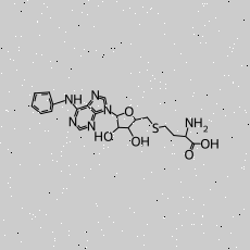 NC(CCSCC1OC(n2cnc3c(Nc4ccccc4)ncnc32)C(O)C1O)C(=O)O